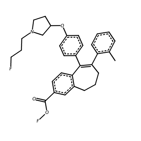 Cc1ccccc1C1=C(c2ccc(OC3CCN(CCCF)C3)cc2)c2ccc(C(=O)OF)cc2CCC1